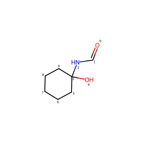 O=[C]NC1(O)CCCCC1